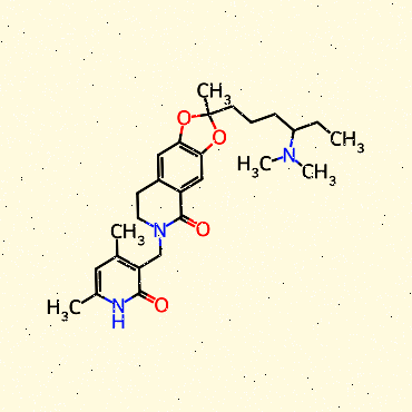 CCC(CCCC1(C)Oc2cc3c(cc2O1)C(=O)N(Cc1c(C)cc(C)[nH]c1=O)CC3)N(C)C